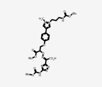 C[n+]1cc(-c2ccc(OCC(O/N=C(\C(=O)O)c3nsc(NC(=O)OC(C)(C)C)n3)C(=O)OC(C)(C)C)cc2)cn1CCCNC(=O)OC(C)(C)C